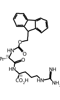 CC(C)[C@H](NC(=O)OCC1c2ccccc2-c2ccccc21)C(=O)N[C@@H](CCCNC(=N)N)C(=O)O